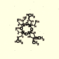 C=CC[Si]1(CF)O[Si](CF)(CF)O[Si](CF)(CC=C)O[Si](CC=C)(CC=C)O1